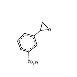 CCOC(=O)c1cccc(C2CO2)c1